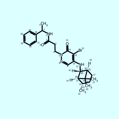 CC(NC(=O)CCn1ncc(N[C@H]2[C@@H]3[C@@H](C)CC[C@H]2C3(C)C)c(Br)c1=O)c1ccccc1